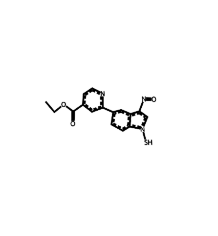 CCOC(=O)c1ccnc(-c2ccc3c(c2)c(N=O)cn3S)c1